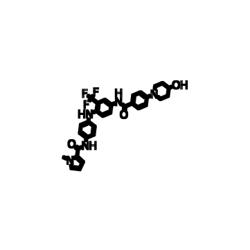 Cn1cccc1C(=O)Nc1ccc(Nc2ccc(NC(=O)c3ccc(N4CCC(O)CC4)cc3)cc2C(F)(F)F)cc1